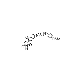 COc1ccc(CN2CCC3(CC2)CN(c2ccc4c(c2)CN(C2CCC(=O)NC2=O)C4=O)C3)cn1